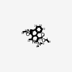 CCOC(=O)C1=C(N(C)C)N=C(C)C(C(=O)OCC)C1c1ccccc1C#N